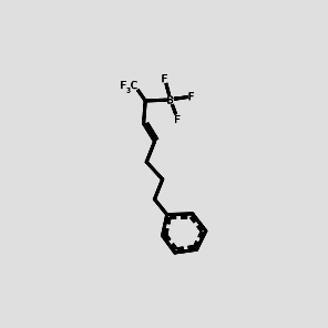 F[B-](F)(F)C(/C=C/CCCc1ccccc1)C(F)(F)F